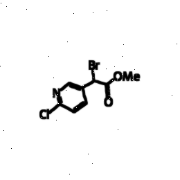 COC(=O)C(Br)c1ccc(Cl)nc1